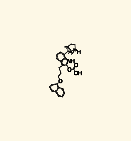 CC1(C)[C@H]2C=C(c3cccc4c(CCCOc5cccc6ccccc56)c(OC(=O)O)[nH]c34)[C@]1(C)CC2